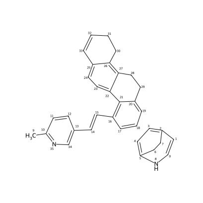 C1=CC2=CC=C(CC2)N1.Cc1ccc(/C=C/c2cccc3c2-c2ccc4c(c2CC3)CCC=C4)cn1